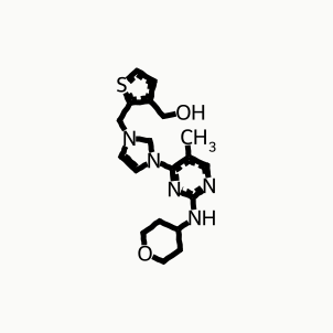 Cc1cnc(NC2CCOCC2)nc1N1C=CN(Cc2sccc2CO)C1